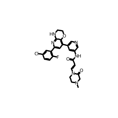 CN1CCN(C=CC(=O)Nc2cncc(-c3cc(-c4cc(Cl)ccc4F)nc4c3OCCN4)c2)C(=O)C1